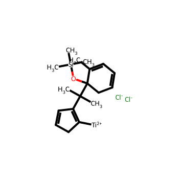 CC1=CC=CCC1(O[Si](C)(C)C)C(C)(C)C1=[C]([Ti+2])CC=C1.[Cl-].[Cl-]